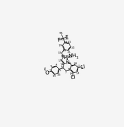 COc1ccc(C(Cc2ccc(Cl)cc2Cl)c2cn(Cc3cccc(C(C)(F)F)c3)c(N)n2)cc1